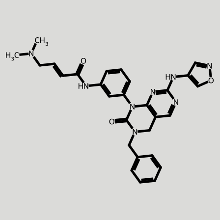 CN(C)C/C=C/C(=O)Nc1cccc(N2C(=O)N(Cc3ccccc3)Cc3cnc(Nc4cnoc4)nc32)c1